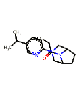 CCC(=O)N1C2CCC1CN(c1ccc(C(C)C)cn1)C2